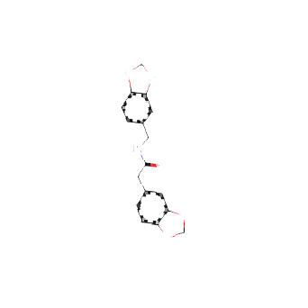 O=C(Cc1ccc2c(c1)OCO2)NCc1ccc2c(c1)OCO2